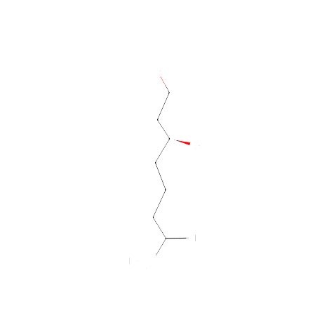 CC(CCC[C@H](O)CCO)C(=O)O